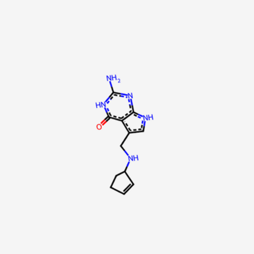 Nc1nc2[nH]cc(CNC3C=CCC3)c2c(=O)[nH]1